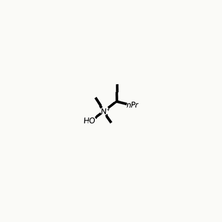 CCCC(C)[N+](C)(C)O